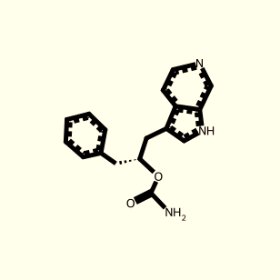 NC(=O)O[C@H](Cc1ccccc1)Cc1c[nH]c2cnccc12